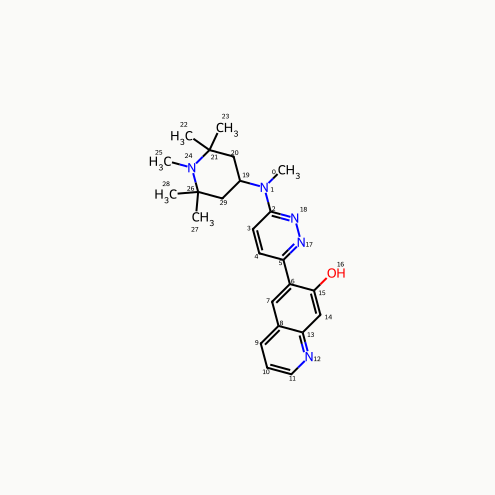 CN(c1ccc(-c2cc3cccnc3cc2O)nn1)C1CC(C)(C)N(C)C(C)(C)C1